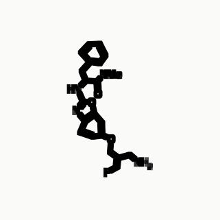 CNC(=O)C(Cc1ccccc1)Nc1nc2ccc(OC/C(=C\F)CN)cc2o1